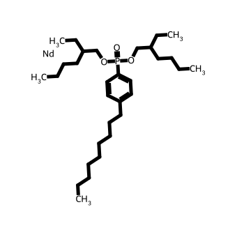 CCCCCCCCCc1ccc(P(=O)(OCC(CC)CCCC)OCC(CC)CCCC)cc1.[Nd]